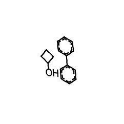 OC1CCC1.c1ccc(-c2ccccc2)cc1